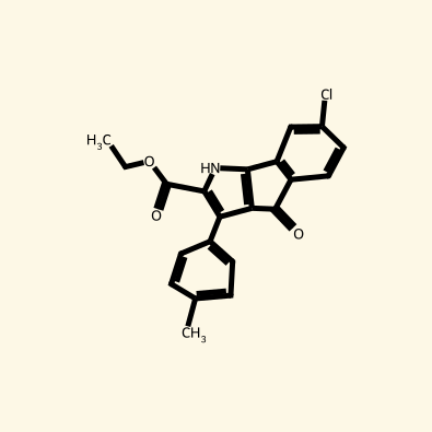 CCOC(=O)c1[nH]c2c(c1-c1ccc(C)cc1)C(=O)c1ccc(Cl)cc1-2